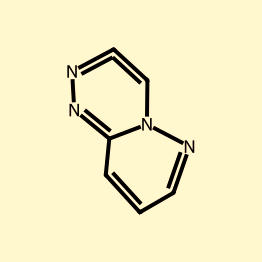 C1=CN2N=CC=CC2=NN=1